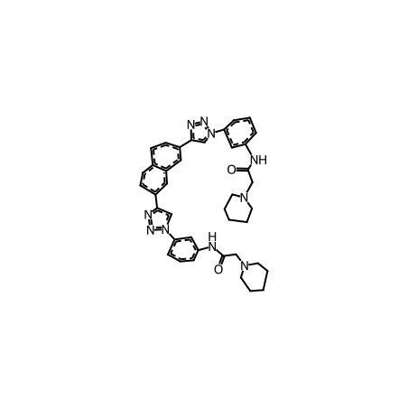 O=C(CN1CCCCC1)Nc1cccc(-n2cc(-c3ccc4ccc(-c5cn(-c6cccc(NC(=O)CN7CCCCC7)c6)nn5)cc4c3)nn2)c1